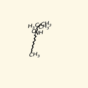 CCCCCCCCCCCCNC(=O)CCC(C)(C)CC